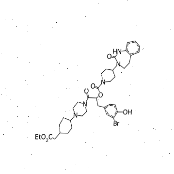 CCOC(=O)CC1CCC(N2CCN(C(=O)C(Cc3ccc(O)c(Br)c3)OC(=O)N3CCC(N4CCc5ccccc5NC4=O)CC3)CC2)CC1